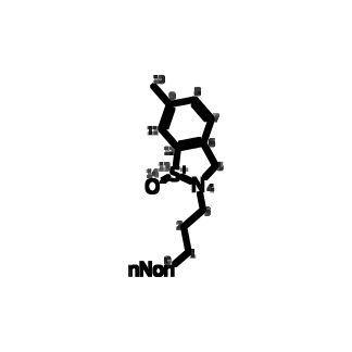 CCCCCCCCCCCCN1Cc2ccc(C)cc2[S+]1[O-]